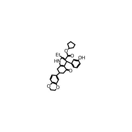 CCC1=C(C(=O)OC2CCCC2)C(c2cccc(O)c2)C2=C(CC(c3ccc4c(c3)OCCO4)CC2=O)N1